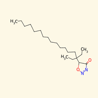 CCCCCCCCCCCCCCC(CC)(CC)C1ON=NC1=O